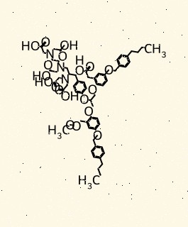 CCCCc1ccc(COc2ccc(OCC(COc3ccc(OCc4ccc(CCCC)cc4)cc3CC(=O)O)Oc3ccc(CC(CN(CCN(CC(=O)O)CC(=O)O)CC(=O)O)N(CC(=O)O)CC(=O)O)cc3)c(COOC)c2)cc1